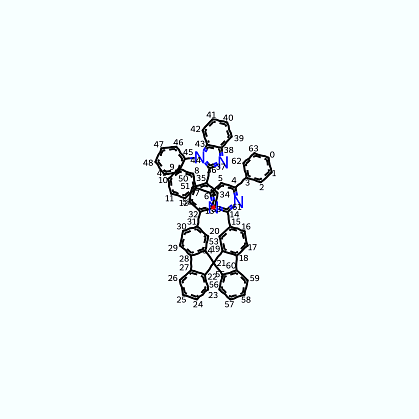 c1ccc(-c2cc(-c3ccccc3)nc(-c3ccc4c(c3)C3(c5ccccc5-c5ccc(-c6ccc(-c7nc8ccccc8n7-c7ccccc7)cc6)cc53)c3ccccc3-4)n2)cc1